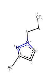 CC(=O)c1ccn(CCC(F)(F)F)n1